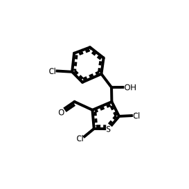 O=Cc1c(Cl)sc(Cl)c1C(O)c1cccc(Cl)c1